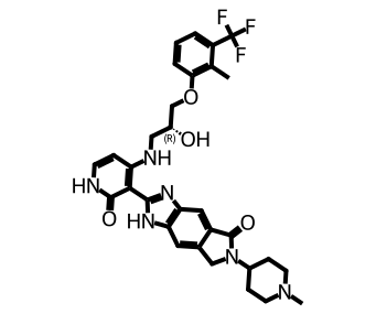 Cc1c(OC[C@H](O)CNc2cc[nH]c(=O)c2-c2nc3cc4c(cc3[nH]2)CN(C2CCN(C)CC2)C4=O)cccc1C(F)(F)F